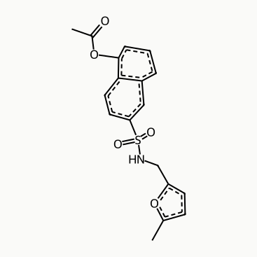 CC(=O)Oc1cccc2cc(S(=O)(=O)NCc3ccc(C)o3)ccc12